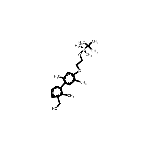 Cc1cc(-c2cccc(CO)c2C)c(C)cc1OCCO[Si](C)(C)C(C)(C)C